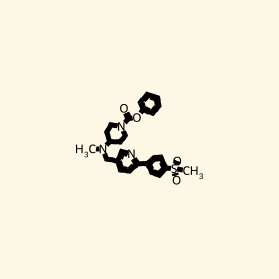 CN(Cc1ccc(-c2ccc(S(C)(=O)=O)cc2)nc1)C1CCN(C(=O)Oc2ccccc2)CC1